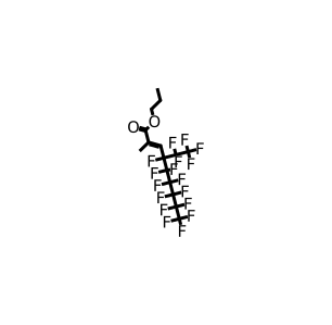 CCCOC(=O)C(C)=CC(F)(C(F)(F)C(F)(F)F)C(F)(F)C(F)(F)C(F)(F)C(F)(F)C(F)(F)F